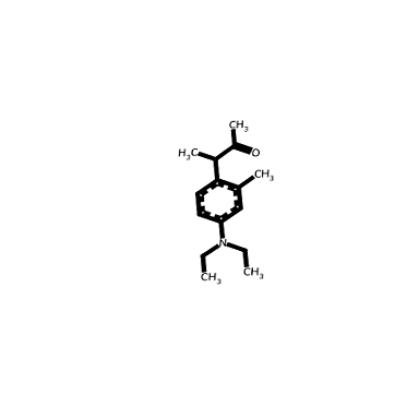 CCN(CC)c1ccc(C(C)C(C)=O)c(C)c1